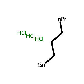 CCCCC[CH2][Sn].Cl.Cl.Cl